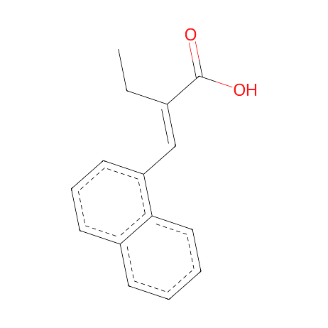 CC/C(=C\c1cccc2ccccc12)C(=O)O